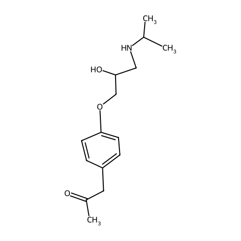 CC(=O)Cc1ccc(OCC(O)CNC(C)C)cc1